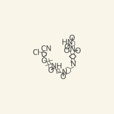 CC1(C)[C@H](NC(=O)C23CC(C(=O)N4CCC(CN5Cc6cc7c(cc6C5)C(=O)N(C5CCC(=O)NC5=O)C7=O)CC4)(C2)C3)C(C)(C)[C@H]1Oc1ccc(C#N)c(Cl)c1